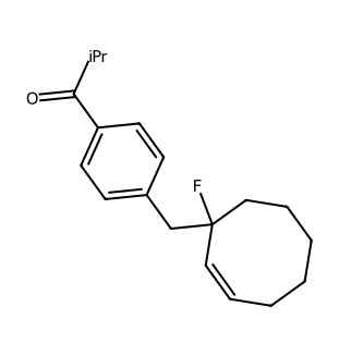 CC(C)C(=O)c1ccc(CC2(F)/C=C\CCCCC2)cc1